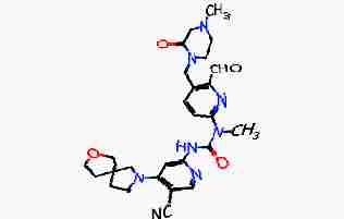 CN1CCN(Cc2ccc(N(C)C(=O)Nc3cc(N4CCC5(CCOC5)C4)c(C#N)cn3)nc2C=O)C(=O)C1